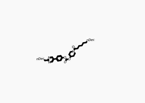 CCCCCCCCCCCCCCCC(=O)N1CCC(OC(=O)Oc2ccc(-c3cnc(CCCCCCCCCCC)nc3)cc2)CC1